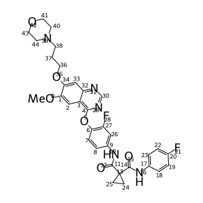 COc1cc2c(Oc3ccc(NC(=O)C4(C(=O)Nc5ccc(F)cc5)CC4)cc3F)ncnc2cc1OCCCN1CCOCC1